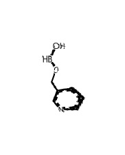 OBOCc1cccnc1